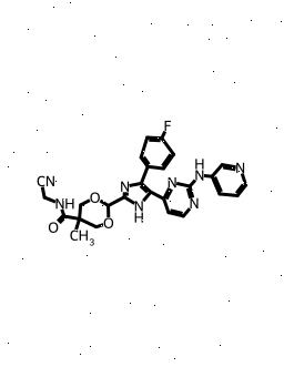 CC1(C(=O)NCC#N)COC(c2nc(-c3ccc(F)cc3)c(-c3ccnc(Nc4cccnc4)n3)[nH]2)OC1